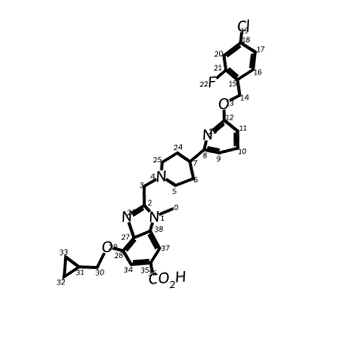 Cn1c(CN2CCC(c3cccc(OCc4ccc(Cl)cc4F)n3)CC2)nc2c(OCC3CC3)cc(C(=O)O)cc21